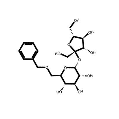 OC[C@H]1O[C@@](CO)(O[C@H]2O[C@H](COCc3ccccc3)[C@@H](O)[C@H](O)[C@H]2O)[C@@H](O)[C@@H]1O